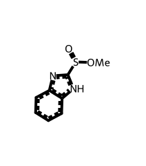 COS(=O)c1nc2ccccc2[nH]1